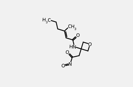 CCC/C(C)=C/C(=O)NC1(CC(=O)N=O)COC1